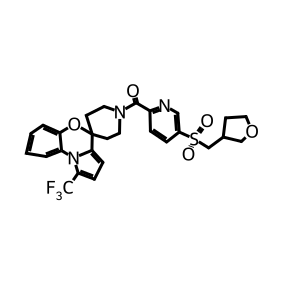 O=C(c1ccc(S(=O)(=O)CC2CCOC2)cn1)N1CCC2(CC1)Oc1ccccc1-n1c(C(F)(F)F)ccc12